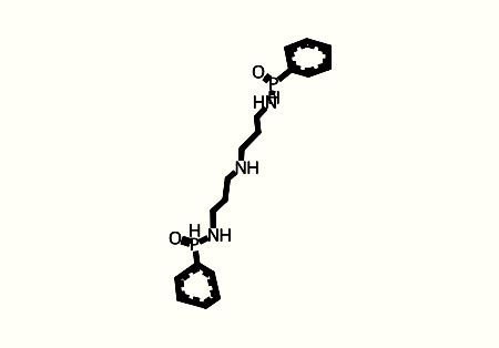 O=[PH](NCCCNCCCN[PH](=O)c1ccccc1)c1ccccc1